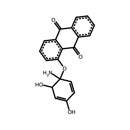 NC1(Oc2cccc3c2C(=O)c2ccccc2C3=O)C=CC(O)=CC1O